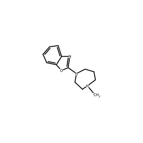 CN1CCCN(c2nc3ccccc3o2)CC1